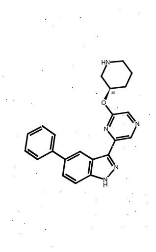 c1ccc(-c2ccc3[nH]nc(-c4cncc(O[C@@H]5CCCNC5)n4)c3c2)cc1